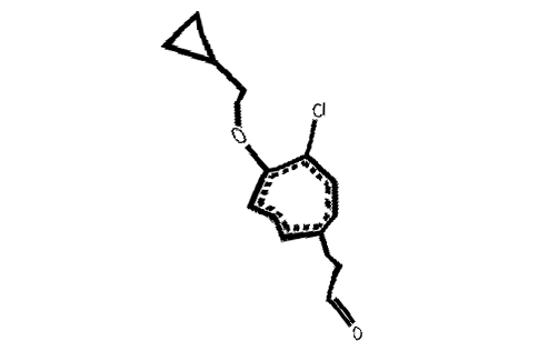 O=CCc1ccc(OCC2CC2)c(Cl)c1